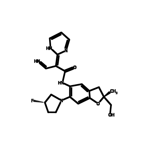 C[C@]1(CO)Cc2cc(NC(=O)/C(C=N)=C3\N=CC=CN3)c(N3CC[C@H](F)C3)cc2O1